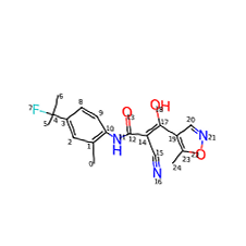 Cc1cc(C(C)(C)F)ccc1NC(=O)/C(C#N)=C(\O)c1cnoc1C